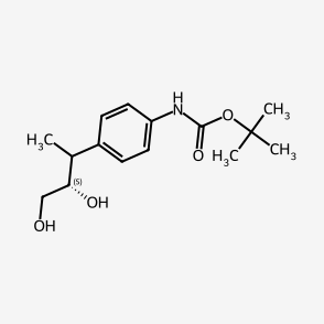 CC(c1ccc(NC(=O)OC(C)(C)C)cc1)[C@H](O)CO